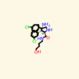 N[C@]1(c2ccc(Cl)cc2)CN[C@@H](C(=O)NCCCCO)[C@@H]1c1cccc(Cl)c1